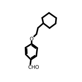 O=Cc1ccc(OCCC2CCCCC2)cc1